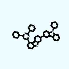 c1ccc(-c2cc(-c3cccc4oc5cc(-c6ccc7c(c6)c6ccccc6n7-c6ccccc6)ccc5c34)nc(-c3ccccc3)n2)cc1